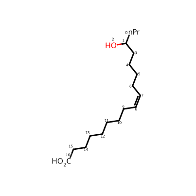 CCCC(O)CCCC/C=C\CCCCCCCC(=O)O